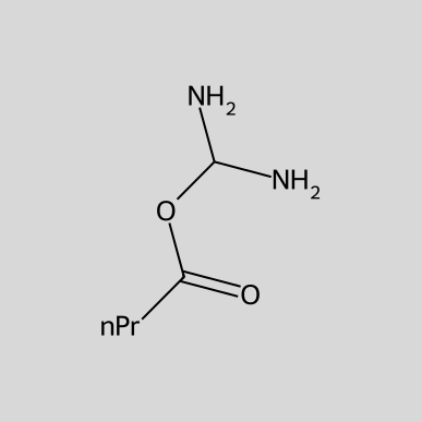 CCCC(=O)OC(N)N